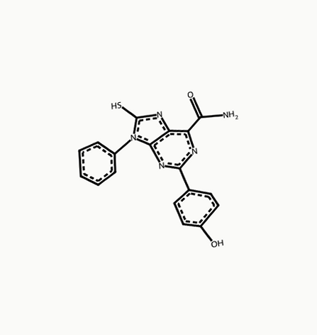 NC(=O)c1nc(-c2ccc(O)cc2)nc2c1nc(S)n2-c1ccccc1